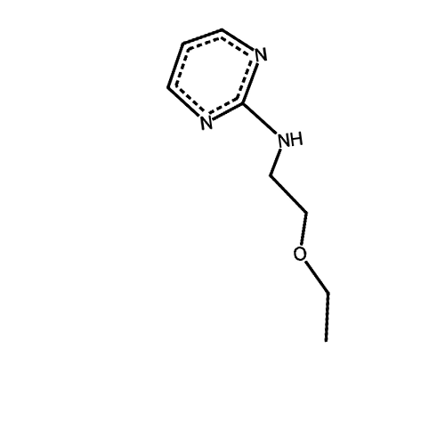 CCOCCNc1ncccn1